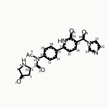 CC(=O)N(C(=O)[C@@H]1CC(=O)CN1)c1ccc(-c2ccc(C(=O)n3ccnc3)c(=O)[nH]2)cc1